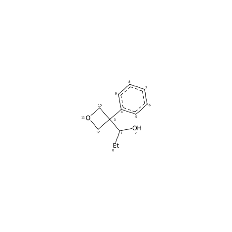 CCC(O)C1(c2ccccc2)COC1